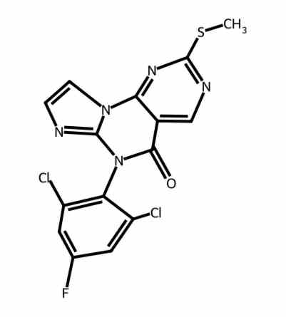 CSc1ncc2c(=O)n(-c3c(Cl)cc(F)cc3Cl)c3nccn3c2n1